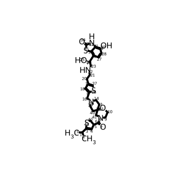 CC(C)C1=CC(C(=O)N2CCOC3(CCN(Cc4cc(CCNC[C@H](O)c5ccc(O)c6[nH]c(=O)sc56)cs4)CC3)C2)CS1